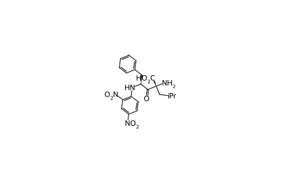 CC(C)C[C@](N)(C(=O)O)C(=O)[C@H](Cc1ccccc1)Nc1ccc([N+](=O)[O-])cc1[N+](=O)[O-]